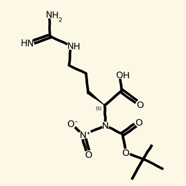 CC(C)(C)OC(=O)N([C@@H](CCCNC(=N)N)C(=O)O)[N+](=O)[O-]